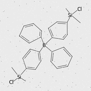 C[Si](C)(Cl)c1ccc([B-](c2ccccc2)(c2ccccc2)c2ccc([Si](C)(C)Cl)cc2)cc1